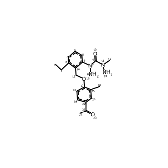 CCc1cccc(N(N)C(=O)N(C)N)c1COc1ccc(C(C)=O)cc1C